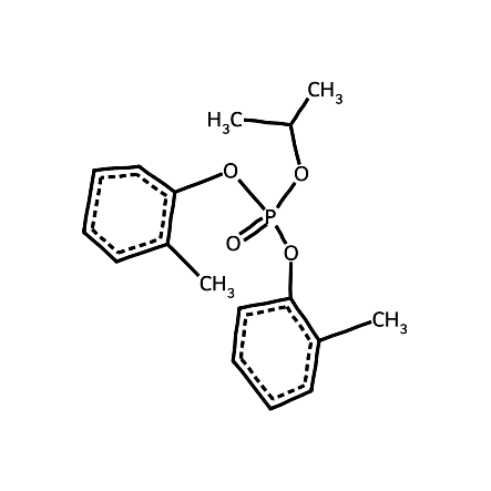 Cc1ccccc1OP(=O)(Oc1ccccc1C)OC(C)C